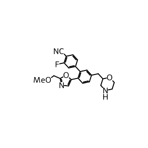 COCc1ncc(-c2ccc(CC3CNCCO3)cc2-c2ccc(C#N)c(F)c2)o1